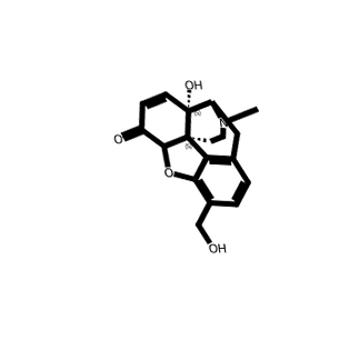 CN1CC[C@]23c4c5ccc(CO)c4OC2C(=O)C=C[C@@]3(O)C1C5